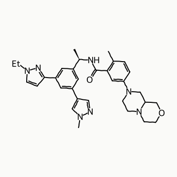 CCn1ccc(-c2cc(-c3cnn(C)c3)cc([C@@H](C)NC(=O)c3cc(N4CCN5CCOCC5C4)ccc3C)c2)n1